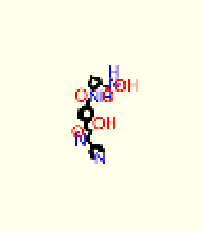 O=C(N[C@H]1CCC[C@H]1C(=O)NO)c1ccc(C2CC(c3ccncc3)=NO2)c(O)c1